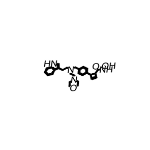 O=C(NO)C1C#CC1c1ccc(CN(CCc2c[nH]c3ccccc23)CCN2CCOCC2)cc1